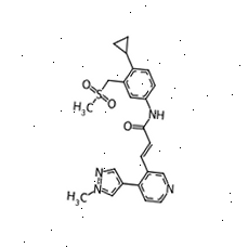 Cn1cc(-c2ccncc2/C=C/C(=O)Nc2ccc(C3CC3)c(CS(C)(=O)=O)c2)cn1